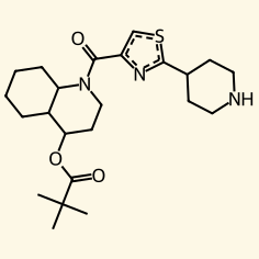 CC(C)(C)C(=O)OC1CCN(C(=O)c2csc(C3CCNCC3)n2)C2CCCCC12